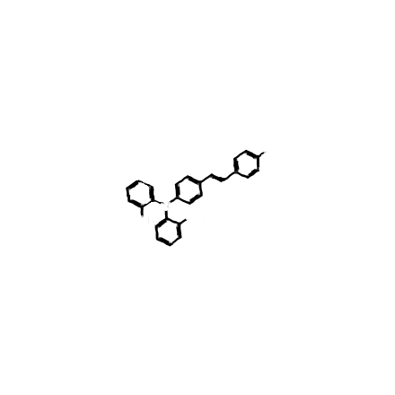 Cc1ccccc1N(c1ccc(C=Cc2ccc(Cl)cc2)cc1)c1ccccc1C